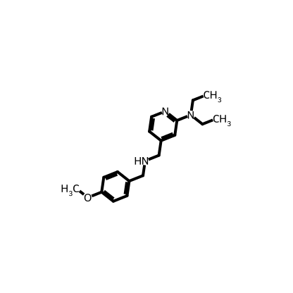 CCN(CC)c1cc(CNCc2ccc(OC)cc2)ccn1